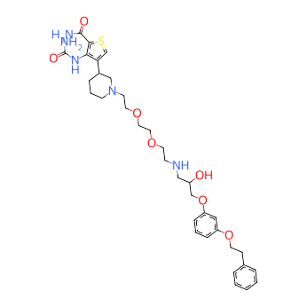 NC(=O)Nc1c(C2CCCN(CCOCCOCCNCC(O)COc3cccc(OCCc4ccccc4)c3)C2)csc1C(N)=O